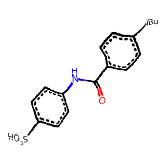 CCC(C)c1ccc(C(=O)Nc2ccc(S(=O)(=O)O)cc2)cc1